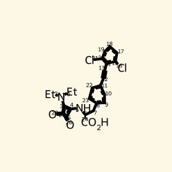 CCN(CC)c1c(N[C@@H](Cc2ccc(C#Cc3c(Cl)cccc3Cl)cc2)C(=O)O)c(=O)c1=O